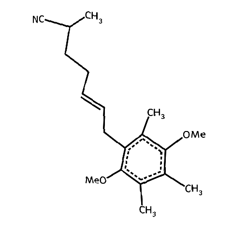 COc1c(C)c(C)c(OC)c(CC=CCCC(C)C#N)c1C